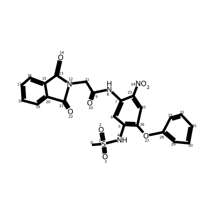 CS(=O)(=O)Nc1cc(NC(=O)CN2C(=O)c3ccccc3C2=O)c([N+](=O)[O-])cc1Oc1ccccc1